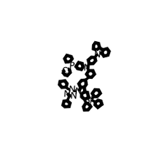 c1ccc(-c2nc(-c3ccccc3)nc(-n3c4ccc(-c5cccc(N(c6ccc(-n7c8ccccc8c8ccccc87)cc6)c6ccc(P(c7ccccc7)c7ccccc7)cc6)c5)cc4c4cc5c(cc43)-c3ccccc3[Si]5(c3ccccc3)c3ccccc3)n2)cc1